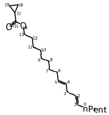 CCCCCC=CCC=CCCCCCCCCOC(=O)C1CC1